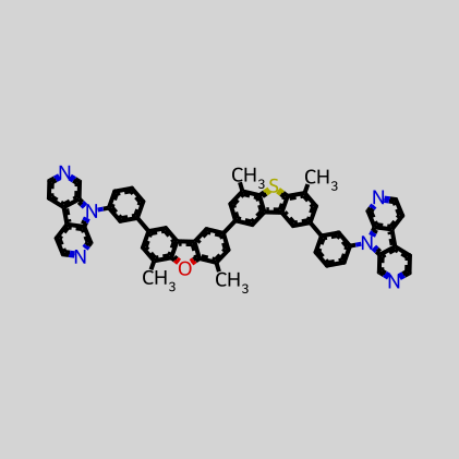 Cc1cc(-c2cccc(-n3c4cnccc4c4ccncc43)c2)cc2c1oc1c(C)cc(-c3cc(C)c4sc5c(C)cc(-c6cccc(-n7c8cnccc8c8ccncc87)c6)cc5c4c3)cc12